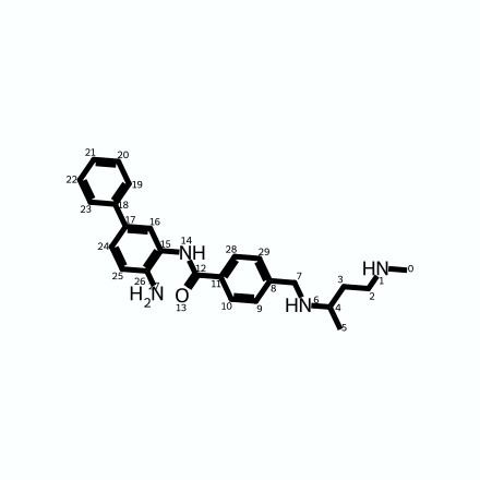 CNCCC(C)NCc1ccc(C(=O)Nc2cc(-c3ccccc3)ccc2N)cc1